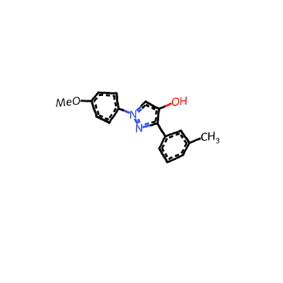 COc1ccc(-n2cc(O)c(-c3cccc(C)c3)n2)cc1